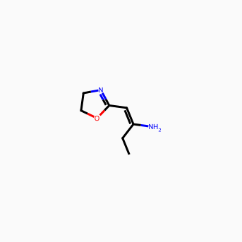 CC/C(N)=C\C1=NCCO1